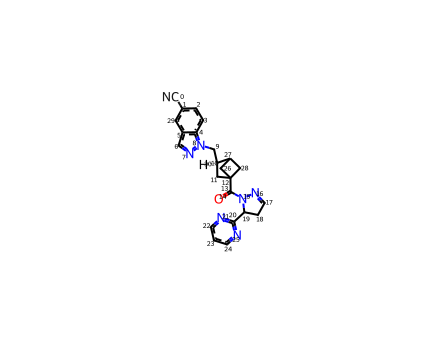 N#Cc1ccc2c(cnn2C[C@@H]2CC3(C(=O)N4N=CCC4c4ncccn4)CC2C3)c1